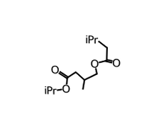 CC(C)CC(=O)OCC(C)CC(=O)OC(C)C